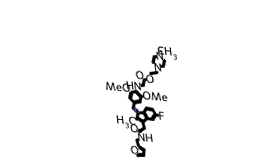 COc1cc(/C=C2/C(C)=C(CC(=O)NCc3ccco3)c3cc(F)ccc32)cc(OC)c1NCC(=O)OCCN1CCN(C)CC1